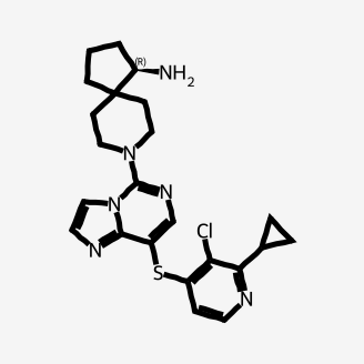 N[C@@H]1CCCC12CCN(c1ncc(Sc3ccnc(C4CC4)c3Cl)c3nccn13)CC2